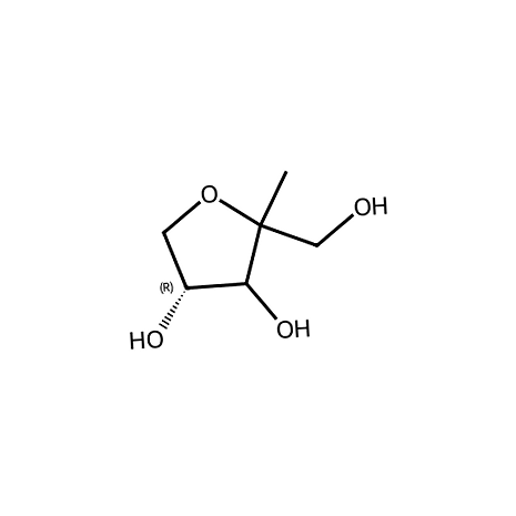 CC1(CO)OC[C@@H](O)C1O